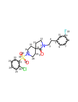 O=C1N(CCc2cccc(F)c2)CCC12CCN(S(=O)(=O)c1ccccc1Cl)CC2